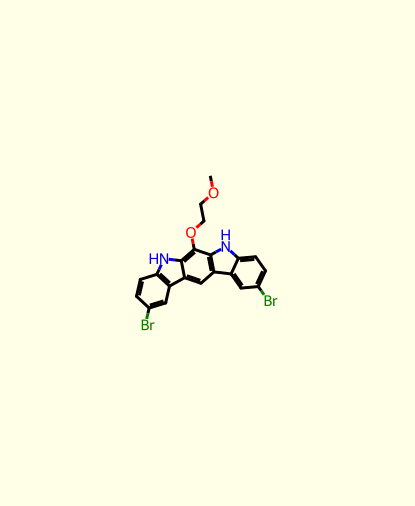 COCCOc1c2[nH]c3ccc(Br)cc3c2cc2c1[nH]c1ccc(Br)cc12